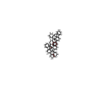 c1ccc(N(c2ccc3ccc4c(N(c5ccccc5)c5c(C6CCCC6)ccc6c5oc5ccccc56)ccc5ccc2c3c54)c2c(C3CCCC3)ccc3c2oc2ccccc23)cc1